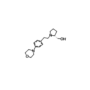 OC[C@H]1CCCN1CCc1ccc(N2CCOCC2)cc1